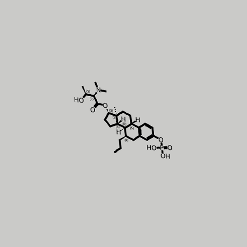 CCC[C@@H]1Cc2cc(OP(=O)(O)O)ccc2[C@H]2CC[C@]3(C)[C@@H](OC(=O)[C@@H]([C@H](C)O)N(C)C)CC[C@H]3[C@H]12